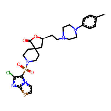 Cc1ccc(N2CCN(CC[C@H]3CC4(CCN(S(=O)(=O)c5c(Cl)nc6sccn56)CC4)C(=O)O3)CC2)cc1